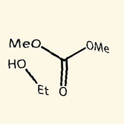 CCO.COC(=O)OC